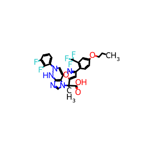 CCCOc1ccc(-c2cc(C(C)(C(=O)O)n3cnc4c3C=CN(c3cccc(F)c3F)N4)on2)c(C(F)(F)F)c1